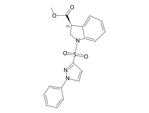 COC(=O)[C@@H]1CN(S(=O)(=O)c2ccn(-c3ccccc3)n2)c2ccccc21